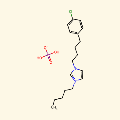 CCCCC[n+]1ccn(CCCCc2ccc(Cl)cc2)c1.O=P([O-])(O)O